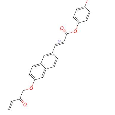 C=CC(=O)COc1ccc2cc(/C=C/C(=O)Oc3ccc(OC)cc3)ccc2c1